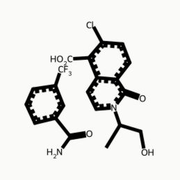 CC(CO)n1ccc2c(C(=O)O)c(Cl)ccc2c1=O.NC(=O)c1cccc(C(F)(F)F)c1